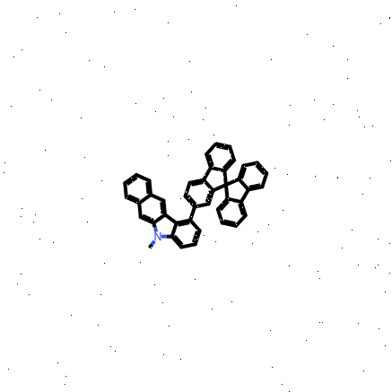 Cn1c2cc3ccccc3cc2c2c(-c3ccc4c(c3)C3(c5ccccc5-c5ccccc53)c3ccccc3-4)cccc21